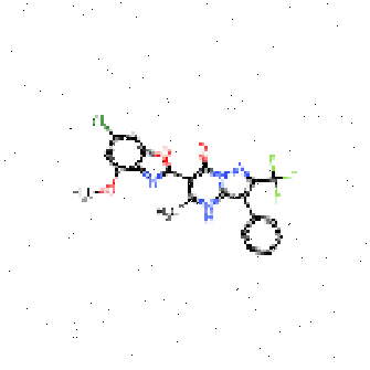 COc1cc(Cl)cc2oc(-c3c(C)[nH]c4c(-c5ccccc5)c(C(F)(F)F)nn4c3=O)nc12